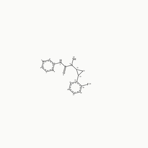 O=C(Nc1cnccn1)N(S)C1CC1c1ccccc1F